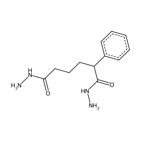 NNC(=O)CCCC(C(=O)NN)c1ccccc1